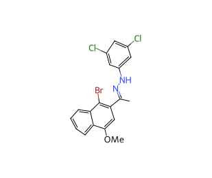 COc1cc(C(C)=NNc2cc(Cl)cc(Cl)c2)c(Br)c2ccccc12